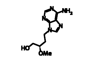 CO[C@H](CO)CCn1cnc2c(N)ncnc21